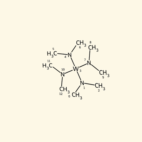 C[N](C)[W]([N](C)C)([N](C)C)[N](C)C